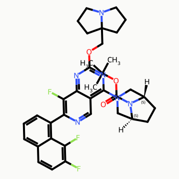 CC(C)(C)OC(=O)N1[C@H]2CC[C@H]1CN(c1nc(OCC34CCCN3CCC4)nc3c(F)c(-c4cccc5ccc(F)c(F)c45)ncc13)C2